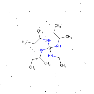 CCN[Si](NC(C)CC)(NC(C)CC)NC(C)CC